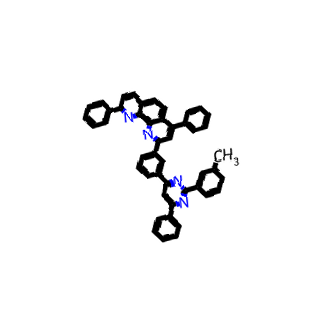 CC1C=C(c2nc(-c3ccccc3)cc(-c3cccc(-c4cc(-c5ccccc5)c5ccc6ccc(-c7ccccc7)nc6c5n4)c3)n2)C=CC1